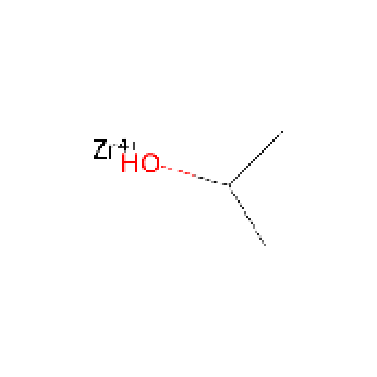 CC(C)O.[Zr+4]